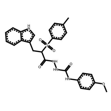 COc1ccc(NC(=O)NNC(=O)C(Cc2c[nH]c3ccccc23)S(=O)(=O)c2ccc(C)cc2)cc1